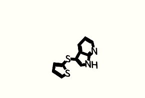 c1csc(Sc2c[nH]c3ncccc23)c1